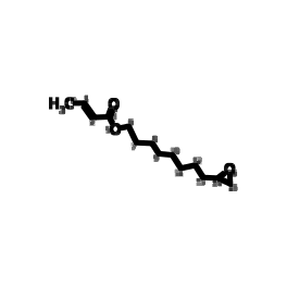 C/C=C/C(=O)OCCCCCCCCC1CO1